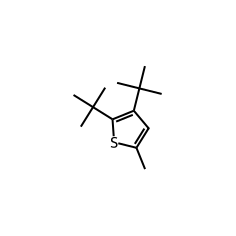 Cc1cc(C(C)(C)C)c(C(C)(C)C)s1